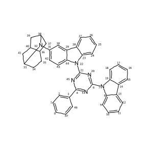 c1ccc(-c2nc(-n3c4ccccc4c4ccccc43)nc(-n3c4ccccc4c4cc(N5C6CCC7CC5CC7C6)ccc43)n2)cc1